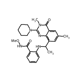 CONC(=O)c1ccccc1NC(C)c1cc(C)cc2c(=O)n(C)c(N3CCCCC3)nc12